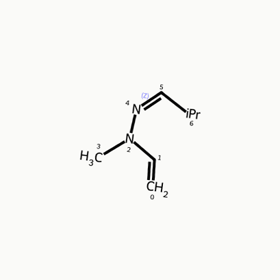 C=CN(C)/N=C\C(C)C